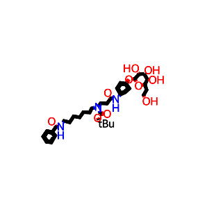 CC(C)(C)OC(=O)N(CCCCCCCNC(=O)c1ccccc1)CCC(=O)Nc1ccc(OC2OC(CCO)C(O)C(O)C2O)cc1